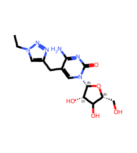 CCn1cc(Cc2cn([C@@H]3O[C@H](CO)C(O)[C@@H]3O)c(=O)nc2N)nn1